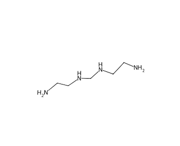 NCCNCNCCN